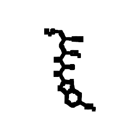 C/C=C(C#N)\C=C(/C)NC(=O)Nc1nc2ccc(N)cc2s1